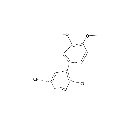 COc1ccc(-c2cc(Cl)ccc2Cl)cc1O